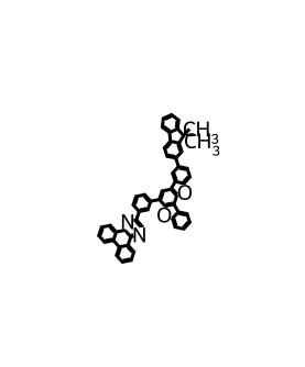 CC1(C)c2ccccc2-c2ccc(-c3ccc4oc5c(cc(-c6cccc(-c7cnc8c9ccccc9c9ccccc9c8n7)c6)c6oc7ccccc7c65)c4c3)cc21